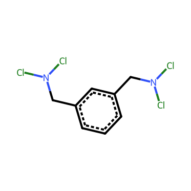 ClN(Cl)Cc1cccc(CN(Cl)Cl)c1